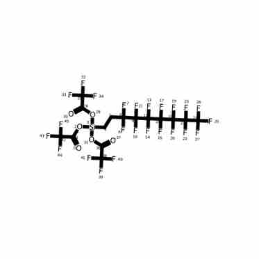 O=C(O[Si](CCC(F)(F)C(F)(F)C(F)(F)C(F)(F)C(F)(F)C(F)(F)C(F)(F)F)(OC(=O)C(F)(F)F)OC(=O)C(F)(F)F)C(F)(F)F